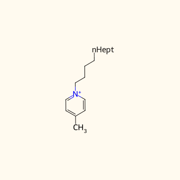 CCCCCCCCCCC[n+]1ccc(C)cc1